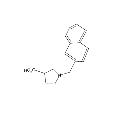 O=C(O)C1CCN(Cc2ccc3ccccc3c2)C1